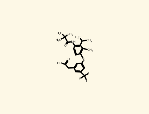 Cc1c(Sc2cc(CC(=O)O)cc(C(F)(F)F)c2)ccc(NC(=O)C(C)(C)C)c1C(C)C